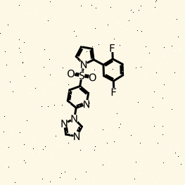 O=S(=O)(c1ccc(-n2cncn2)nc1)n1cccc1-c1cc(F)ccc1F